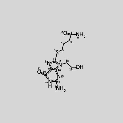 NC(=O)CCCSc1nc2c(=O)[nH]c(N)nc2n1CCO